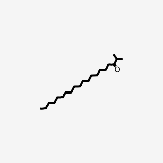 CCCCCC/C=C/CCCCCCCCCC(=O)C(C)C